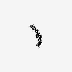 CC(=O)N1CCN(c2ccc(Oc3ncnc4c3cnn4C3CCN(C(=O)OC(C)(C)C)CC3)cc2)CC1